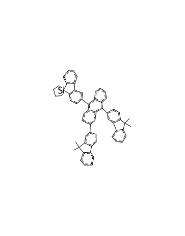 CC1(C)c2ccccc2-c2cc(-c3c4ccccc4c(-c4ccc5c(c4)-c4ccccc4[Si]54CCCC4)c4ccc(-c5ccc6c(c5)C(C)(C)c5ccccc5-6)cc34)ccc21